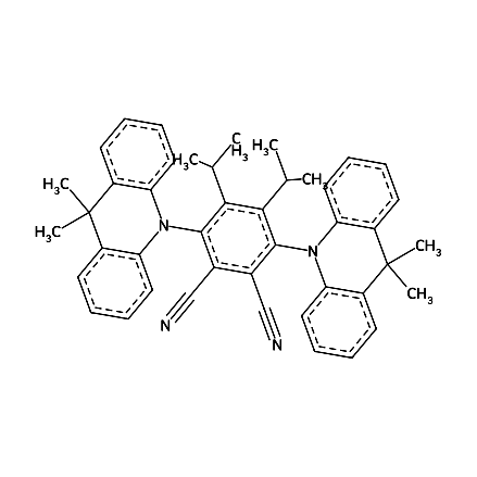 CC(C)c1c(C(C)C)c(N2c3ccccc3C(C)(C)c3ccccc32)c(C#N)c(C#N)c1N1c2ccccc2C(C)(C)c2ccccc21